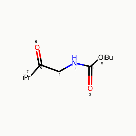 CC(C)COC(=O)NCC(=O)C(C)C